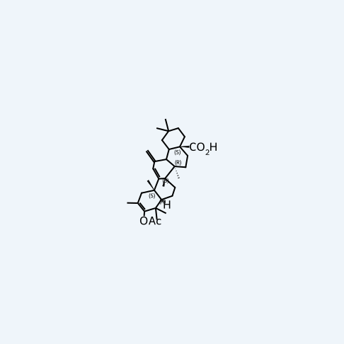 C=C1C=C2[C@@]3(C)CC(C)=C(OC(C)=O)C(C)(C)[C@@H]3CC[C@@]2(C)[C@]2(C)CC[C@@]3(C(=O)O)CCC(C)(C)CC3C12